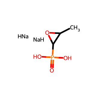 CC1OC1P(=O)(O)O.[NaH].[NaH]